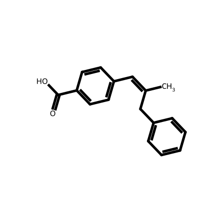 CC(=Cc1ccc(C(=O)O)cc1)Cc1ccccc1